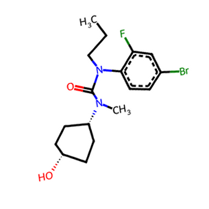 CCCN(C(=O)N(C)[C@H]1CC[C@@H](O)CC1)c1ccc(Br)cc1F